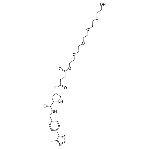 Cc1ncsc1-c1ccc(CNC(=O)C2CC(OC(=O)CCC(=O)OCCOCCOCCOCCOCCO)CN2)cc1